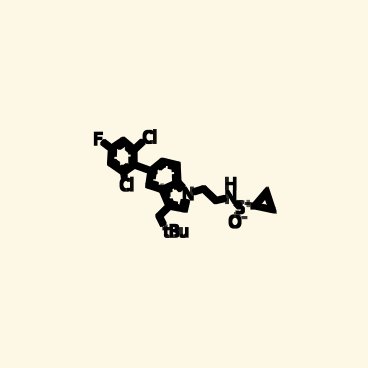 CC(C)(C)Cc1cn(CCN[S+]([O-])C2CC2)c2ccc(-c3c(Cl)cc(F)cc3Cl)cc12